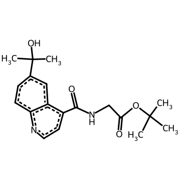 CC(C)(C)OC(=O)CNC(=O)c1ccnc2ccc(C(C)(C)O)cc12